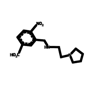 O=C(O)c1ccc([N+](=O)[O-])c(CNCCN2CCCC2)c1